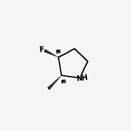 C[C@H]1NCC[C@H]1F